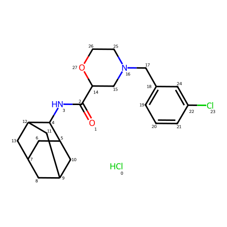 Cl.O=C(NC1C2CC3CC(C2)CC1C3)C1CN(Cc2cccc(Cl)c2)CCO1